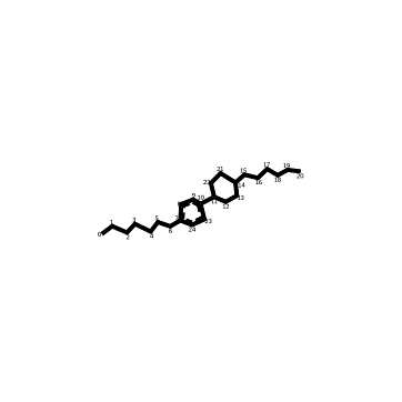 CCCCCCCc1ccc(C2CCC(CCCCCC)CC2)cc1